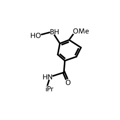 COc1ccc(C(=O)NC(C)C)cc1BO